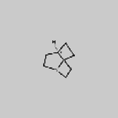 C1CN2CCC23CC[C@H]13